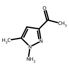 CC(=O)c1cc(C)n(N)n1